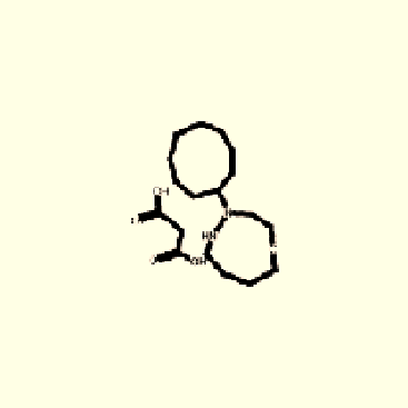 C1CCCCC(N2CCCCCCCN2)CCC1.O=C(O)CC(=O)O